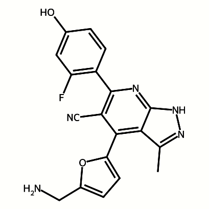 Cc1n[nH]c2nc(-c3ccc(O)cc3F)c(C#N)c(-c3ccc(CN)o3)c12